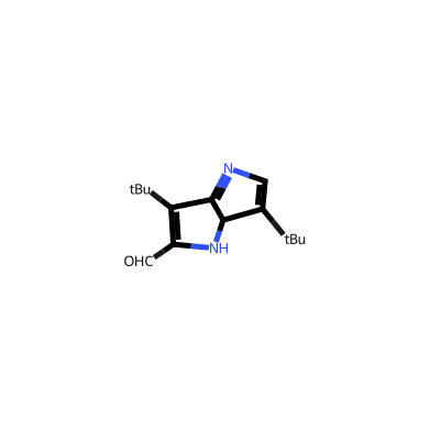 CC(C)(C)C1=CN=C2C(C(C)(C)C)=C(C=O)NC12